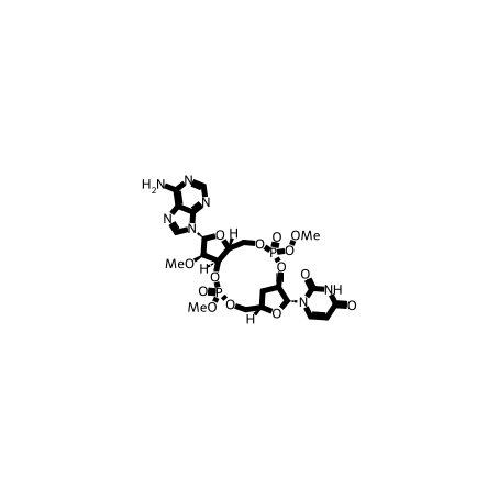 COOP1(=O)OC[C@H]2O[C@@H](n3cnc4c(N)ncnc43)[C@H](OC)[C@@H]2OP(=O)(OC)OC[C@@H]2C[C@@H](O1)[C@H](n1ccc(=O)[nH]c1=O)O2